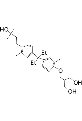 CCC(CC)(c1ccc(CCC(C)(C)O)c(C)c1)c1ccc(OCC(CO)CO)c(C)c1